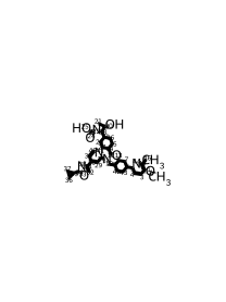 COc1ccc(C2CCC(CN(C(=O)C3CCC(C4C(O)CN4C(=O)O)CC3)c3cc(-c4coc(C5CC5)n4)ccn3)CC2)nc1C